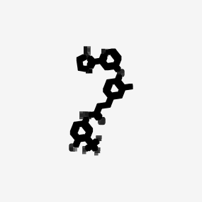 Cc1cc(CCC(=O)Nc2ccc(Cl)c(C(F)(F)F)c2)ccc1Oc1ccnc(C2=NCCN2)c1